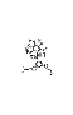 CC(C)=CCOc1cc(OCC=C(C)C)cc(C(=O)Nc2c(SF)c(SF)c(SF)c(SF)c2SF)c1